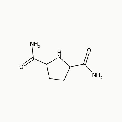 NC(=O)C1CCC(C(N)=O)N1